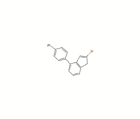 CC(C)c1ccc(-c2cccc3c2C=C(Br)C3)cc1